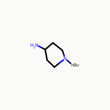 CCC[CH]N1CCC(N)CC1